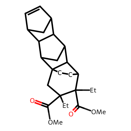 CCC1(C(=O)OC)CC23CCC(C2C2CC3C3C4C=CC(C4)C23)C1(CC)C(=O)OC